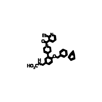 CCc1ncccc1C(=O)N1CC=C(c2cc(CNC(=O)O)ccc2OCc2ccccc2)CC1.c1cc2cc-2c1